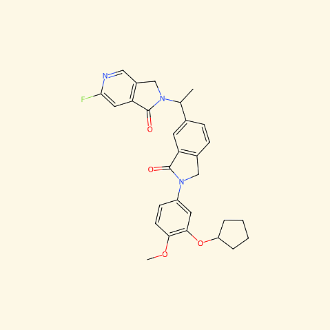 COc1ccc(N2Cc3ccc(C(C)N4Cc5cnc(F)cc5C4=O)cc3C2=O)cc1OC1CCCC1